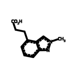 Cn1cc2c(CCC(=O)O)cccc2n1